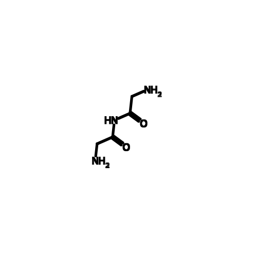 NCC(=O)NC(=O)CN